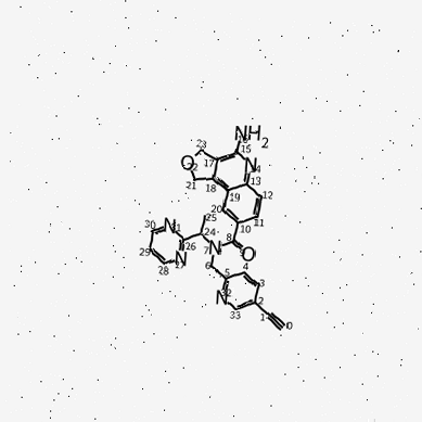 C#Cc1ccc(CN(C(=O)c2ccc3nc(N)c4c(c3c2)COC4)C(C)c2ncccn2)nc1